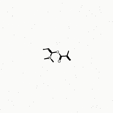 C=C(C)C(=O)OC(=CC)N(C)C